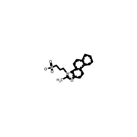 Cc1oc2ccc3c4ccccc4ccc3c2[n+]1CCCS(=O)(=O)[O-]